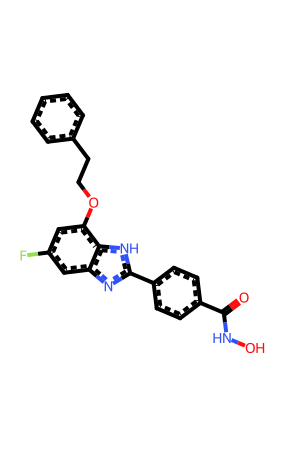 O=C(NO)c1ccc(-c2nc3cc(F)cc(OCCc4ccccc4)c3[nH]2)cc1